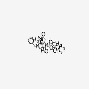 CC(C)(C)OC(=O)N1C(=O)[C@@H]2CN(Cc3ccccc3)C[C@@H]2C1CC(N)=O